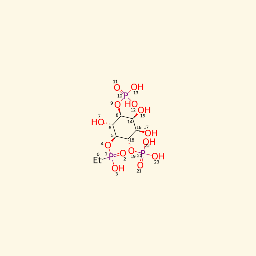 CCP(=O)(O)O[C@H]1[C@H](O)[C@@H](OP(=O)(O)O)[C@@H](O)[C@@H](O)[C@@H]1OP(=O)(O)O